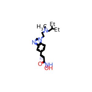 CCC(CC)CN(C)CCn1cnc2cc(/C=C/C(=O)NO)ccc21